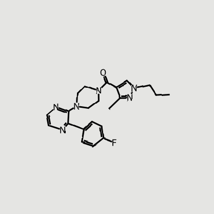 CCCn1cc(C(=O)N2CCN(c3nccnc3-c3ccc(F)cc3)CC2)c(C)n1